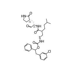 CC(C)CCC(CSNC(=O)OC(Cc1cccc(Cl)c1)c1ccccc1)C(=O)N[C@H](C=O)C[C@@H]1CCNC1=O